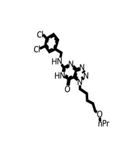 CCCOCCCCCn1nnc2nc(NCc3ccc(Cl)c(Cl)c3)[nH]c(=O)c21